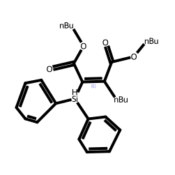 CCCCOC(=O)/C(CCCC)=C(\C(=O)OCCCC)[SiH](c1ccccc1)c1ccccc1